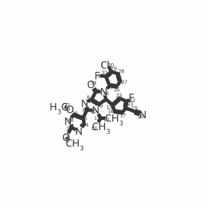 COc1ncc(-c2nc3c(n2C(C)C)C(c2ccc(C#N)c(F)c2)N(c2cccc(Cl)c2F)C3=O)c(OC)n1